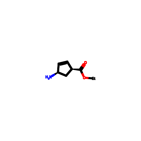 CCOC(=O)[C@@H]1C=C[C@H](N)C1